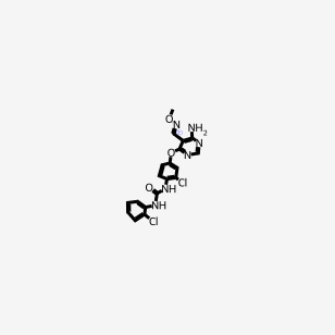 CO/N=C/c1c(N)ncnc1Oc1ccc(NC(=O)Nc2ccccc2Cl)c(Cl)c1